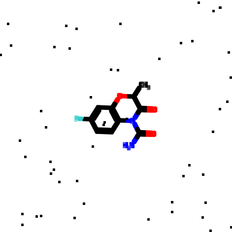 CC1Oc2cc(F)ccc2N(C(N)=O)C1=O